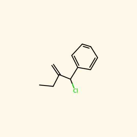 C=C(CC)C(Cl)c1ccccc1